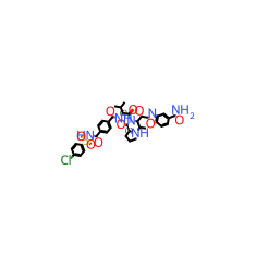 CC(C)C(C(=O)c1nc2cc(C(N)=O)ccc2o1)N(C(=O)[C@@H]1CCCN1)C(=O)[C@@H](NC(=O)c1ccc(C(=O)NS(=O)(=O)c2ccc(Cl)cc2)cc1)C(C)C